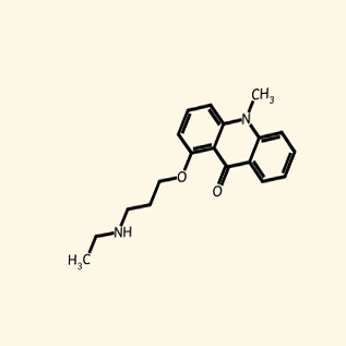 CCNCCCOc1cccc2c1c(=O)c1ccccc1n2C